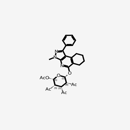 CC(=O)O[C@@H]1O[C@H](Oc2nc3c(c(-c4ccccc4)nn3C)c3c2CCCC3)[C@H](C(C)=O)[C@H](C(C)=O)[C@@H]1C(C)=O